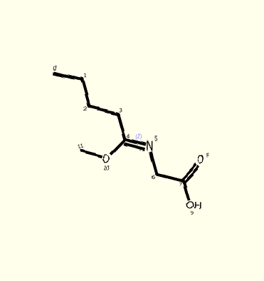 CCCC/C(=N/CC(=O)O)OC